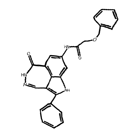 O=C(COc1ccccc1)Nc1cc2c3c(c(-c4ccccc4)[nH]c3c1)C=NNC2=O